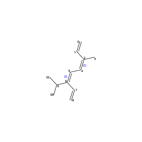 C=C/C(C)=C\C=C(/C=C)C(C)C